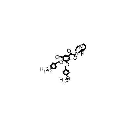 COc1ccc(COc2cc(C(=O)C(=O)N3CCN4CCC[C@H]4C3)cc(Cl)c2OCc2ccc(OC)cc2)cc1